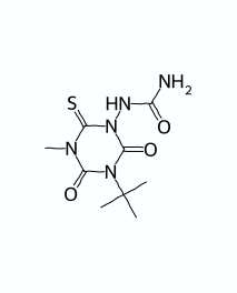 Cn1c(=S)n(NC(N)=O)c(=O)n(C(C)(C)C)c1=O